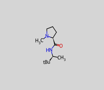 C[C@H](NC(=O)[C@@H]1CCCN1C)C(C)(C)C